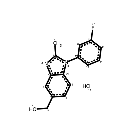 Cc1nc2cc(CO)ccc2n1-c1cccc(F)c1.Cl